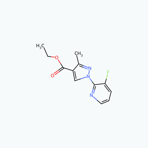 CCOC(=O)c1cn(-c2ncccc2F)nc1C